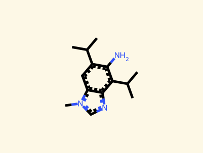 CC(C)c1cc2c(ncn2C)c(C(C)C)c1N